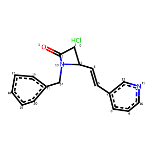 Cl.O=C1CC(C=Cc2cccnc2)N1Cc1ccccc1